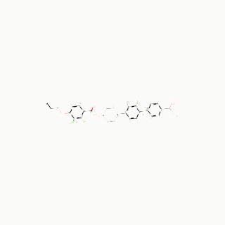 C=CCOc1ccc(C(=O)OC2CCC(c3ccc(-c4ccc(C(C)O)cc4)c(F)c3F)CC2)c(F)c1F